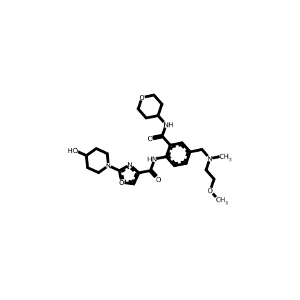 COCCN(C)Cc1ccc(NC(=O)c2coc(N3CCC(O)CC3)n2)c(C(=O)NC2CCOCC2)c1